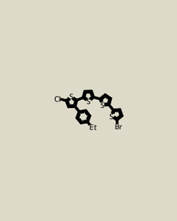 CCc1ccc(-c2cc(Cl)sc2-c2ccc(-c3ccc(-c4ccc(Br)s4)s3)s2)cc1